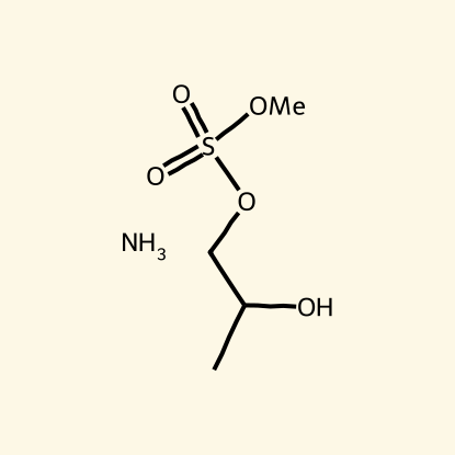 COS(=O)(=O)OCC(C)O.N